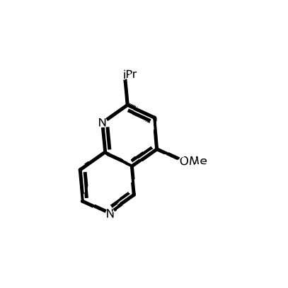 COc1cc(C(C)C)nc2ccncc12